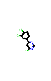 Clc1cc(-c2ccc(Cl)c(Cl)c2)ncn1